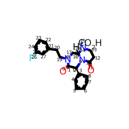 O=C1[C@H](c2ccccc2)N2C(=O)CCN(C(=O)O)[C@H]2CN1CCc1cccc(F)c1